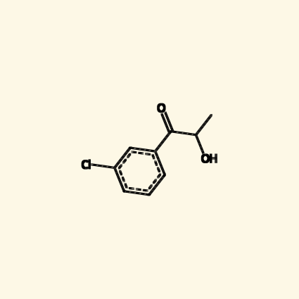 CC(O)C(=O)c1cccc(Cl)c1